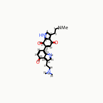 CNCCc1c[nH]c2c1C(=O)C=C(C1=C3N=CC(CCN(C)C)=C3C(=O)C=C1)C2=O